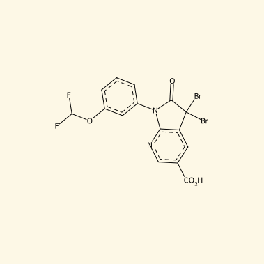 O=C(O)c1cnc2c(c1)C(Br)(Br)C(=O)N2c1cccc(OC(F)F)c1